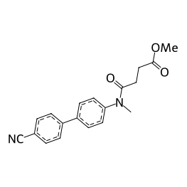 COC(=O)CCC(=O)N(C)c1ccc(-c2ccc(C#N)cc2)cc1